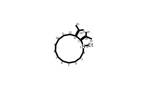 CCN1CCCCCCCCCCCC(=C(C)C)C1=C(C)C